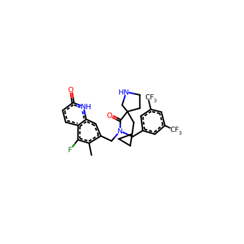 Cc1c(CN(Cc2cc(C(F)(F)F)cc(C(F)(F)F)c2)C(=O)C2(CC3CC3)CCNC2)cc2[nH]c(=O)ccc2c1F